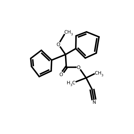 COC(C(=O)OC(C)(C)C#N)(c1ccccc1)c1ccccc1